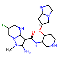 CN1C(N)C(C(=O)NC2CNCCC2O[C@H]2CC3NCCN3C2)C2NCC(F)CN21